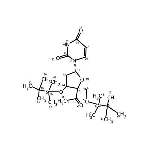 CC(=O)[C@]1(CO[Si](C)(C)C(C)(C)C)O[C@@H](n2ccc(=O)[nH]c2=O)CC1O[Si](C)(C)C(C)(C)C